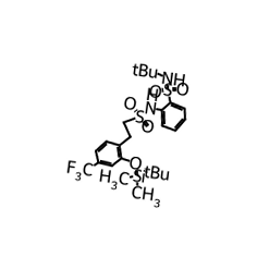 CC(C)(C)NS(=O)(=O)c1ccccc1NS(=O)(=O)CCc1ccc(C(F)(F)F)cc1O[Si](C)(C)C(C)(C)C